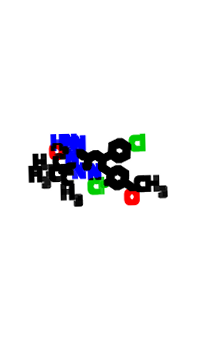 CC(=O)c1ccc(-c2nc3nc(C(C)(C)C)n4c(=O)[nH]nc4c3cc2-c2ccc(Cl)cc2)c(Cl)c1